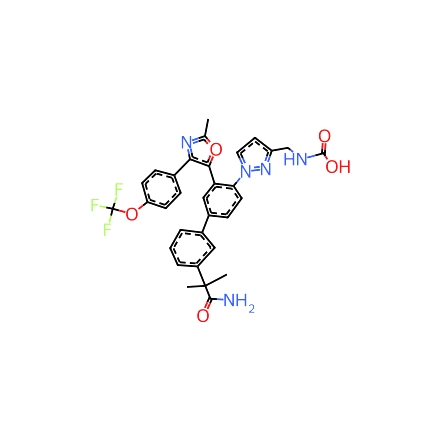 Cc1nc(-c2ccc(OC(F)(F)F)cc2)c(-c2cc(-c3cccc(C(C)(C)C(N)=O)c3)ccc2-n2ccc(CNC(=O)O)n2)o1